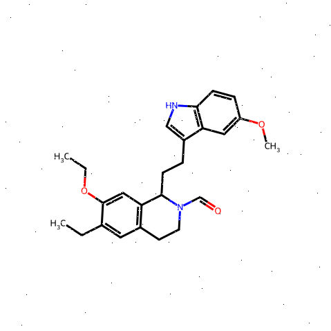 CCOc1cc2c(cc1CC)CCN(C=O)C2CCc1c[nH]c2ccc(OC)cc12